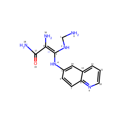 NCN/C(Nc1ccc2ncccc2c1)=C(\N)C(N)=O